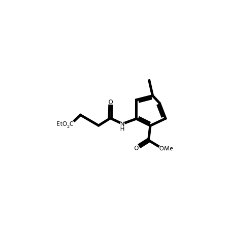 CCOC(=O)CCC(=O)Nc1cc(C)ccc1C(=O)OC